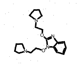 c1ccc2c(c1)nc(OCCN1CCCC1)n2OCCN1CCCC1